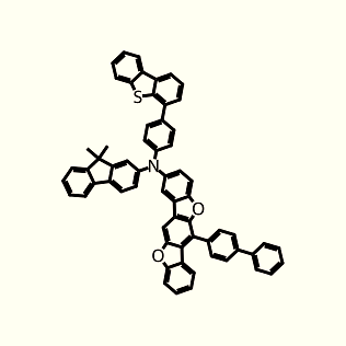 CC1(C)c2ccccc2-c2ccc(N(c3ccc(-c4cccc5c4sc4ccccc45)cc3)c3ccc4oc5c(-c6ccc(-c7ccccc7)cc6)c6c(cc5c4c3)oc3ccccc36)cc21